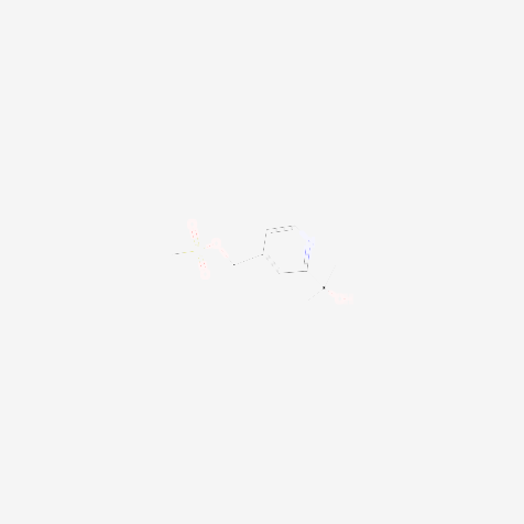 CC(C)(O)c1cc(COS(C)(=O)=O)ccn1